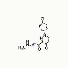 CN/C=C/C(=O)c1nn(-c2ccc(Cl)cc2)ccc1=O